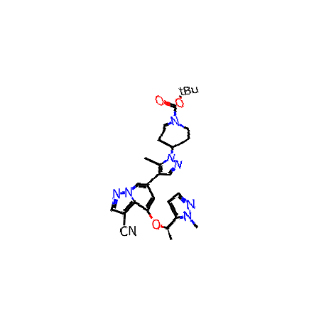 Cc1c(-c2cc(O[C@H](C)c3ccnn3C)c3c(C#N)cnn3c2)cnn1C1CCN(C(=O)OC(C)(C)C)CC1